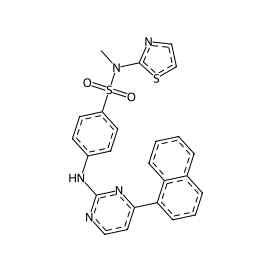 CN(c1nccs1)S(=O)(=O)c1ccc(Nc2nccc(-c3cccc4ccccc34)n2)cc1